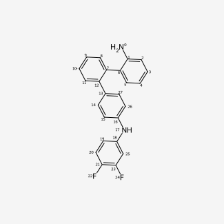 Nc1ccccc1-c1cc[c]cc1-c1ccc(Nc2ccc(F)c(F)c2)cc1